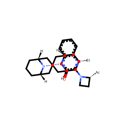 CC[C@@H]1C[C@@H]2C[C@H](C1)C[C@@H](N1[C@@H]3CCC[C@H]1C[C@@H](n1c(=O)c(N4CC[C@H]4C(C)=O)nc4ccccc41)C3)C2